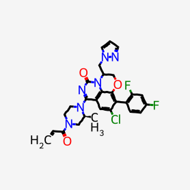 C=CC(=O)N1CCN(c2nc(=O)n3c4c(c(-c5ccc(F)cc5F)c(Cl)cc24)OCC3Cn2cccn2)[C@@H](C)C1